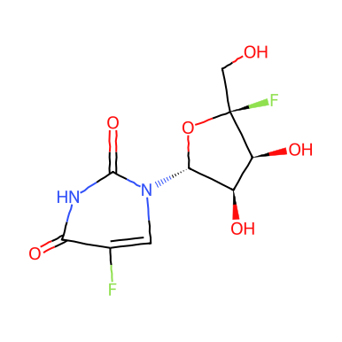 O=c1[nH]c(=O)n([C@@H]2O[C@](F)(CO)[C@@H](O)[C@H]2O)cc1F